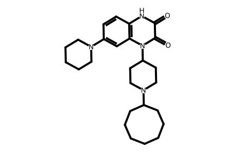 O=c1[nH]c2ccc(N3CCCCC3)cc2n(C2CCN(C3CCCCCCC3)CC2)c1=O